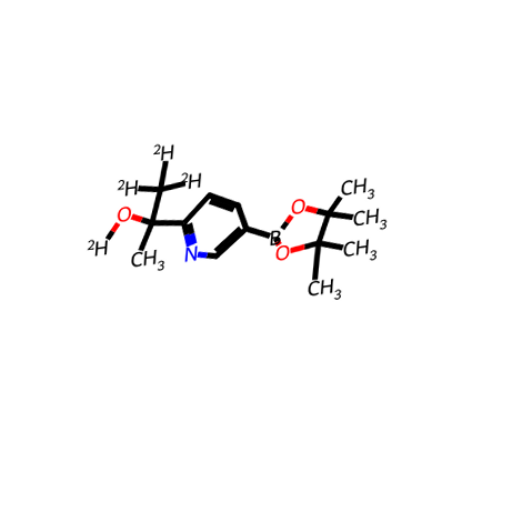 [2H]OC(C)(c1ccc(B2OC(C)(C)C(C)(C)O2)cn1)C([2H])([2H])[2H]